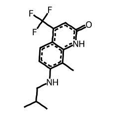 Cc1c(NCC(C)C)ccc2c(C(F)(F)F)cc(=O)[nH]c12